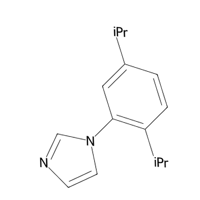 CC(C)c1ccc(C(C)C)c(-n2ccnc2)c1